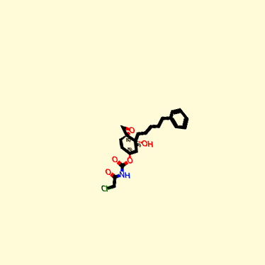 O=C(CCl)NC(=O)O[C@H]1CC[C@]2(CO2)[C@@](O)(CCCCCc2ccccc2)C1